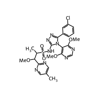 COc1ncnc(OC)c1-n1c(NS(=O)(=O)C(C)C(OC)c2ncc(C)cn2)nnc1-c1cccc(Cl)c1